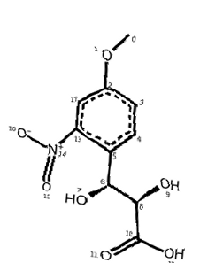 COc1ccc([C@H](O)[C@@H](O)C(=O)O)c([N+](=O)[O-])c1